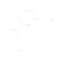 COCCN(C)c1cccc(C(=O)O)n1